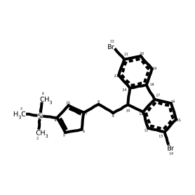 C[Si](C)(C)C1=CCC(CCC2c3cc(Br)ccc3-c3ccc(Br)cc32)=C1